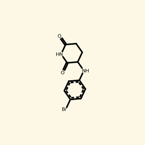 O=C1CCC(Nc2ccc(Br)cc2)C(=O)N1